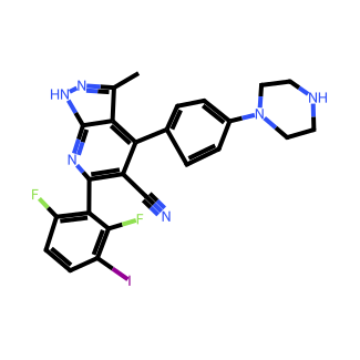 Cc1n[nH]c2nc(-c3c(F)ccc(I)c3F)c(C#N)c(-c3ccc(N4CCNCC4)cc3)c12